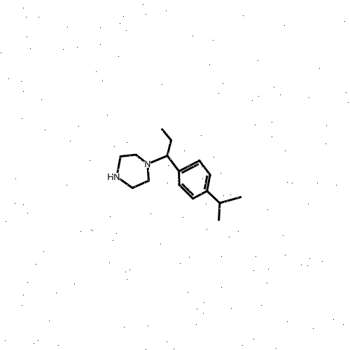 CCC(c1ccc(C(C)C)cc1)N1CCNCC1